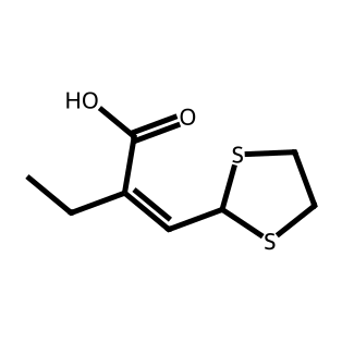 CCC(=CC1SCCS1)C(=O)O